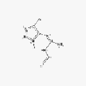 Cc1nnn(C)c1/N=C(/N)NC=O